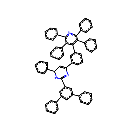 C1=C(c2cccc(-c3c(-c4ccccc4)c(-c4ccccc4)nc(-c4ccccc4)c3-c3ccccc3)c2)N=C(c2cc(-c3ccccc3)cc(-c3ccccc3)c2)NC1c1ccccc1